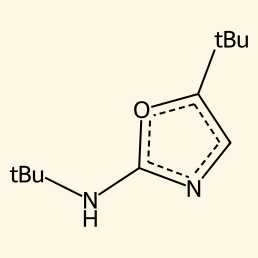 CC(C)(C)Nc1ncc(C(C)(C)C)o1